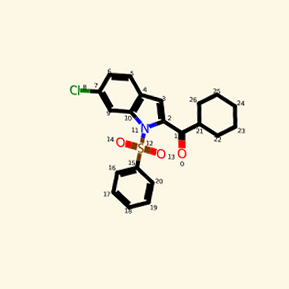 O=C(c1cc2ccc(Cl)cc2n1S(=O)(=O)c1ccccc1)C1CCCCC1